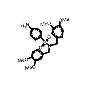 COc1ccc(CN(Cc2ccc(OC)c(OC)c2)S(=O)(=O)c2ccc(N)cc2)cc1OC